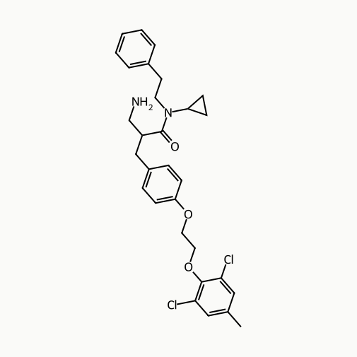 Cc1cc(Cl)c(OCCOc2ccc(CC(CN)C(=O)N(CCc3ccccc3)C3CC3)cc2)c(Cl)c1